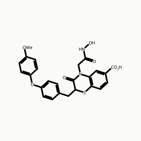 COc1ccc(Oc2ccc(CC3Sc4ccc(C(=O)O)cc4N(CC(=O)NO)C3=O)cc2)cc1